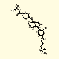 Cc1cc(NCCCS(C)(=O)=O)ccc1-n1ncc2c(OC3CCN(C(=O)OC(C)C)CC3)ncnc21